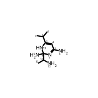 CC(C)C1=CC(N)=NC(N)(C(C)N)N1